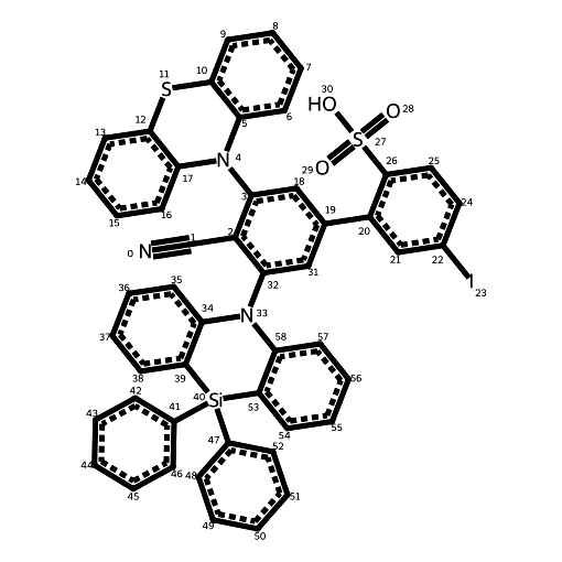 N#Cc1c(N2c3ccccc3Sc3ccccc32)cc(-c2cc(I)ccc2S(=O)(=O)O)cc1N1c2ccccc2[Si](c2ccccc2)(c2ccccc2)c2ccccc21